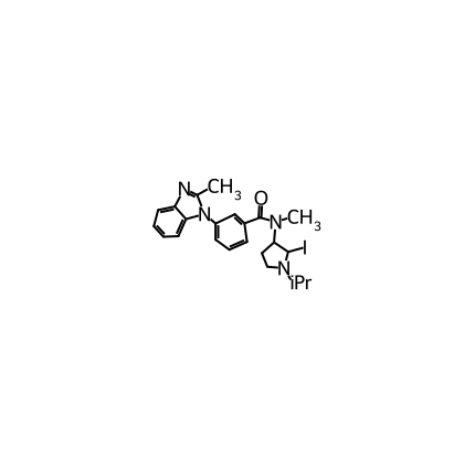 Cc1nc2ccccc2n1-c1cccc(C(=O)N(C)C2CCN(C(C)C)C2I)c1